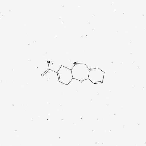 NC(=O)C1=CCC2SC3C=CCCN3CNC2C1